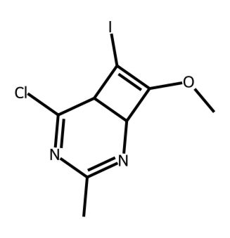 COC1=C(I)C2C(Cl)=NC(C)=NC12